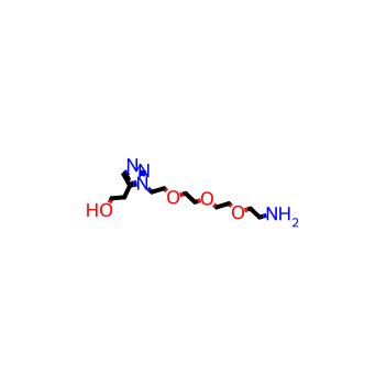 NCCOCCOCCOCCn1nncc1CCO